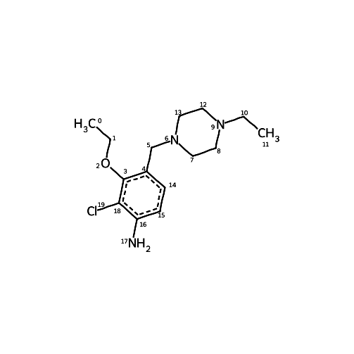 CCOc1c(CN2CCN(CC)CC2)ccc(N)c1Cl